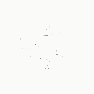 COC(=O)C1=CC[C@@]12OC(OC)C1OC(C)(C)OC12